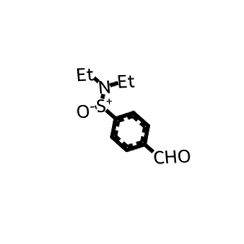 CCN(CC)[S+]([O-])c1ccc(C=O)cc1